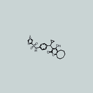 Cn1cnc(S(=O)(=O)Nc2ccc(C(c3c(O)c4c(oc3=O)CCCCCC4)C3CC3)cc2)c1